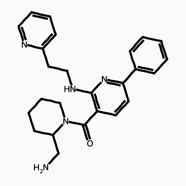 NCC1CCCCN1C(=O)c1ccc(-c2ccccc2)nc1NCCc1ccccn1